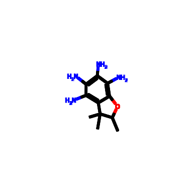 CC1Oc2c(N)c(N)c(N)c(N)c2C1(C)C